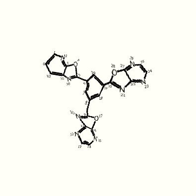 c1cnc2oc(-c3cc(-c4nc5nccnc5o4)cc(-c4nc5nccnc5o4)c3)nc2c1